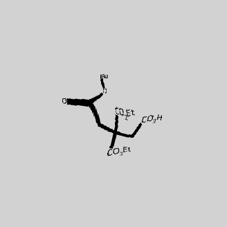 CCOC(=O)C(CC(=O)O)(CC(=O)OC(C)CC)C(=O)OCC